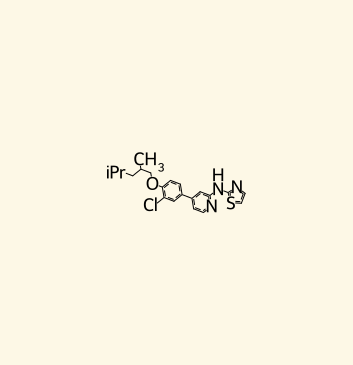 CC(C)CC(C)COc1ccc(-c2ccnc(Nc3nccs3)c2)cc1Cl